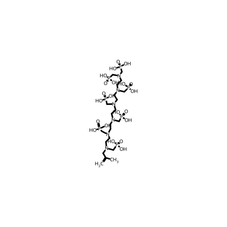 C=C(C)CN(CCN(CCN(CCN(CCN(CCN(CP(=O)(O)O)CP(=O)(O)O)CP(=O)(O)O)CP(=O)(O)O)CP(=O)(O)O)CP(=O)(O)O)CP(=O)(O)O